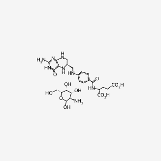 N[C@H]1C(O)O[C@H](CO)[C@H](O)[C@@H]1O.Nc1nc2c(c(=O)[nH]1)N[C@H](CNc1ccc(C(=O)N[C@@H](CCC(=O)O)C(=O)O)cc1)CN2